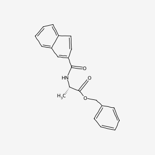 C[C@H](NC(=O)c1ccc2ccccc2c1)C(=O)OCc1ccccc1